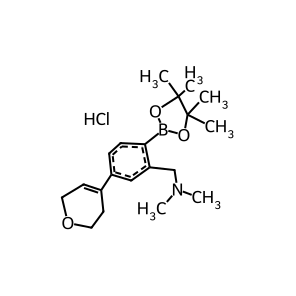 CN(C)Cc1cc(C2=CCOCC2)ccc1B1OC(C)(C)C(C)(C)O1.Cl